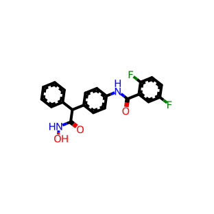 O=C(Nc1ccc(C(C(=O)NO)c2ccccc2)cc1)c1cc(F)ccc1F